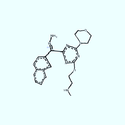 CNCCOc1nc(/C(=N\N)c2ccc3ccccc3c2)nc(N2CCOCC2)n1